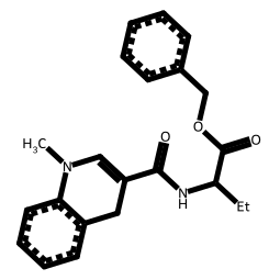 CCC(NC(=O)C1=CN(C)c2ccccc2C1)C(=O)OCc1ccccc1